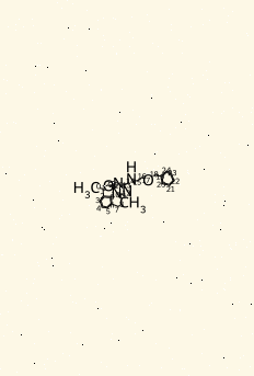 CCc1cccc(CC)c1-n1cnc(NCCOCc2ccccc2)nc1=O